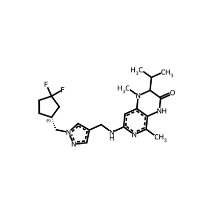 Cc1nc(NCc2cnn(C[C@@H]3CCC(F)(F)C3)c2)cc2c1NC(=O)C(C(C)C)N2C